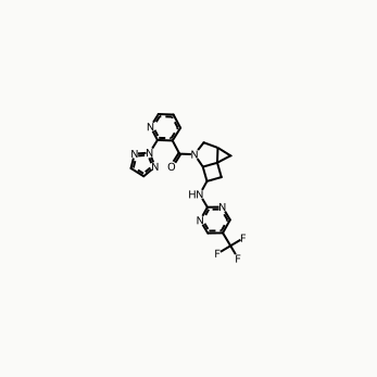 O=C(c1cccnc1-n1nccn1)N1CC2CC23CC(Nc2ncc(C(F)(F)F)cn2)C13